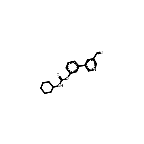 O=Cc1cncc(-c2cccc(OC(=O)NC3CCCCC3)c2)c1